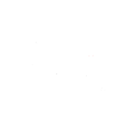 CC(C)C(=O)OC12CC(CCC1C)C2(C)C